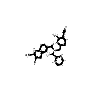 Cc1nc(CN(C(=O)c2ccc3nc(N)c(Br)cc3c2)[C@H](C)c2ncccn2)ccc1C#N